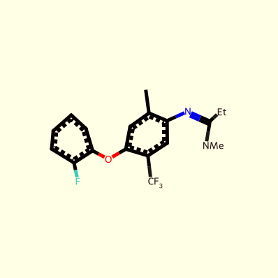 CCC(=Nc1cc(C(F)(F)F)c(Oc2ccccc2F)cc1C)NC